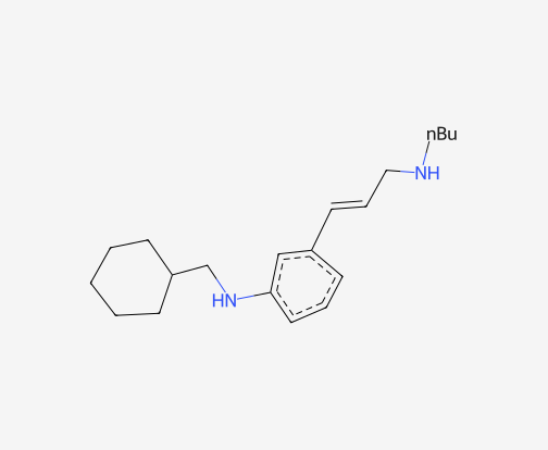 CCCCNCC=Cc1cccc(NCC2CCCCC2)c1